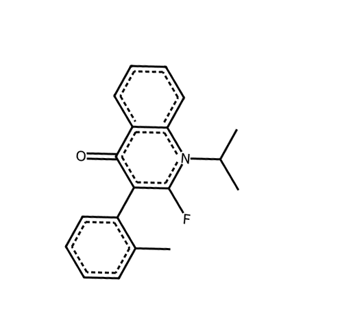 Cc1ccccc1-c1c(F)n(C(C)C)c2ccccc2c1=O